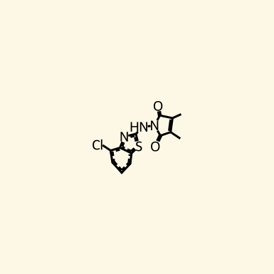 CC1=C(C)C(=O)N(Nc2nc3c(Cl)cccc3s2)C1=O